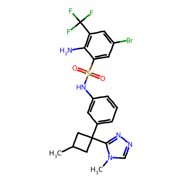 CC1CC(c2cccc(NS(=O)(=O)c3cc(Br)cc(C(F)(F)F)c3N)c2)(c2nncn2C)C1